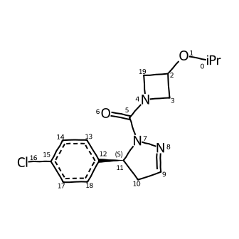 CC(C)OC1CN(C(=O)N2N=CC[C@H]2c2ccc(Cl)cc2)C1